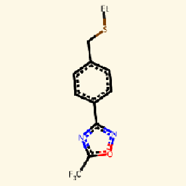 CCSCc1ccc(-c2noc(C(F)(F)F)n2)cc1